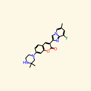 Cc1cc(F)c2nc(-c3cc4ccc(N5CCNC(C)(C)C5)cc4oc3=O)cn2c1